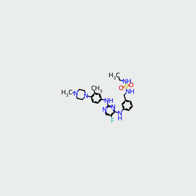 CCNS(=O)(=O)NCc1cccc(Nc2nc(Nc3ccc(N4CCN(C)CC4)c(C)c3)ncc2F)c1